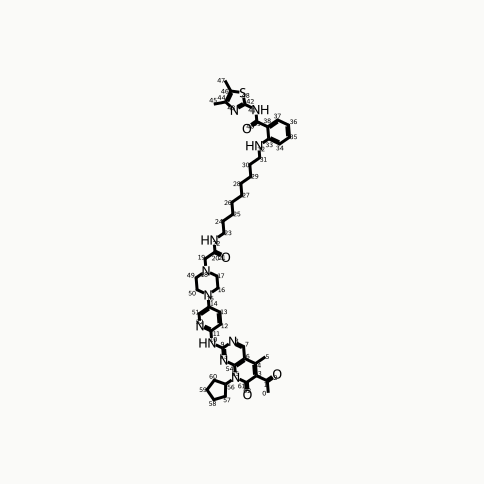 CC(=O)c1c(C)c2cnc(Nc3ccc(N4CCN(CC(=O)NCCCCCCCCCNc5ccccc5C(=O)Nc5nc(C)c(C)s5)CC4)cn3)nc2n(C2CCCC2)c1=O